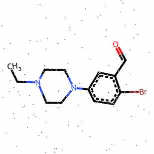 CCN1CCN(c2ccc(Br)c(C=O)c2)CC1